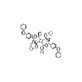 O=C(O)C1C(C(=O)N(Cc2ccc(Oc3ccccc3)cc2)CC2CCC2)C(C(=O)O)C1C(=O)N(Cc1ccc(Oc2ccccc2)cc1)CC1CCC1